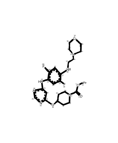 CC(C)OC(=O)N1CCC(Oc2cc(Nc3cc(F)c(NCCN4CCOCC4)cc3F)ncn2)CC1